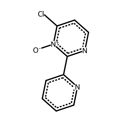 [O-][n+]1c(Cl)ccnc1-c1ccccn1